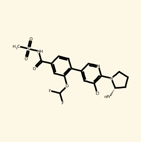 CCC[C@H]1CCCN1c1ncc(-c2ccc(C(=O)NS(C)(=O)=O)cc2OC(F)F)cc1Cl